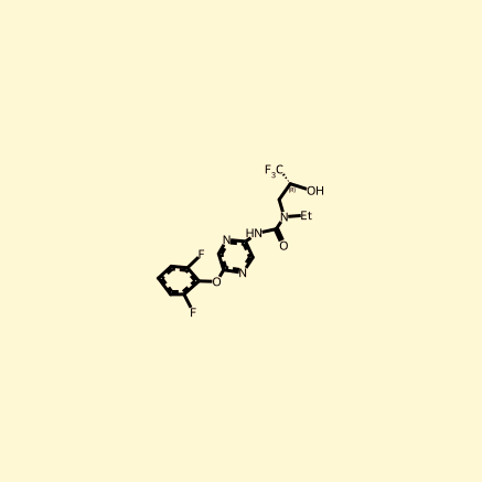 CCN(C[C@@H](O)C(F)(F)F)C(=O)Nc1cnc(Oc2c(F)cccc2F)cn1